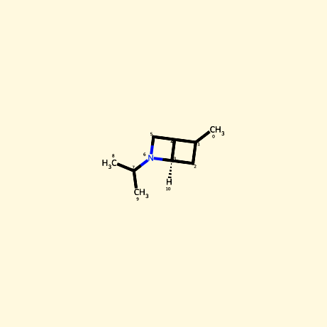 CC1C[C@@H]2C1CN2C(C)C